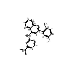 CN(C)c1cc(Nc2cc(-c3cc(F)ccc3F)nc3ncccc23)ncn1